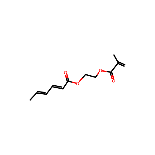 C=C(C)C(=O)OCCOC(=O)C=CC=CC